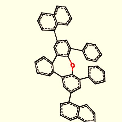 c1ccc(-c2cc(-c3cccc4ccccc34)cc3c2Oc2c(-c4ccccc4)cc(-c4cccc5ccccc45)cc2-c2ccccc2-3)cc1